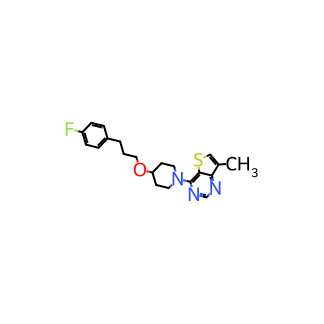 Cc1csc2c(N3CCC(OCCCc4ccc(F)cc4)CC3)ncnc12